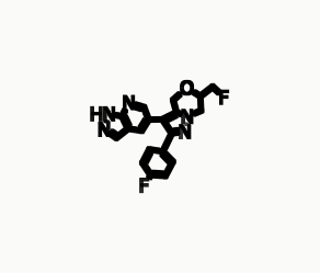 FCC1Cn2nc(-c3ccc(F)cc3)c(-c3cnc4[nH]ncc4c3)c2CO1